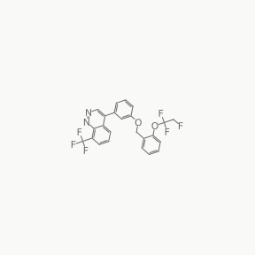 FCC(F)(F)Oc1ccccc1COc1cccc(-c2cnnc3c(C(F)(F)F)cccc23)c1